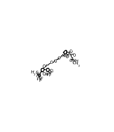 CNC(=O)CCC(C=O)N1C(=O)c2cccc(NCCOCCOCCOCCCCCOc3ccc(-c4cc(C(F)(F)F)nn4C)c(O)c3-c3ccc(Cl)c(C(F)(F)F)c3)c2C1=O